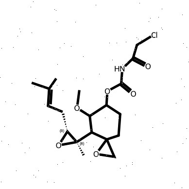 COC1C(OC(=O)NC(=O)CCl)CCC2(CO2)C1[C@@]1(C)O[C@@H]1CC=C(C)C